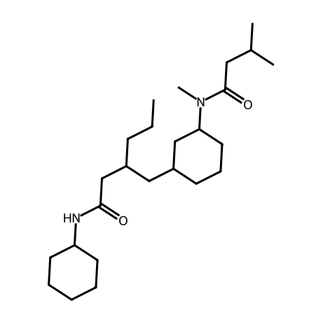 CCCC(CC(=O)NC1CCCCC1)CC1CCCC(N(C)C(=O)CC(C)C)C1